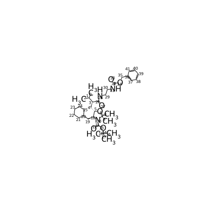 CC(C)[C@H](C[C@@H]1OC(C)(C)N(C(=O)OC(C)(C)C)[C@H]1CC1CCCCC1)C(=O)NCCNC(=O)OCc1ccccc1